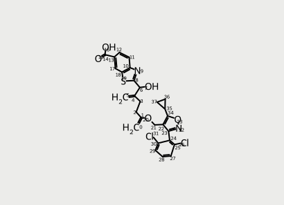 C=C(CCC(=C)C(O)c1nc2ccc(C(=O)O)cc2s1)OCc1c(-c2c(Cl)cccc2Cl)noc1C1CC1